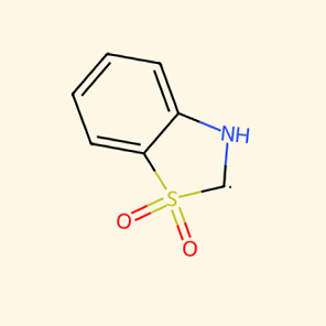 O=S1(=O)[CH]Nc2ccccc21